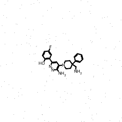 NCC1(c2ccccc2)CCN(c2cc(-c3cc(F)ccc3O)nnc2N)CC1